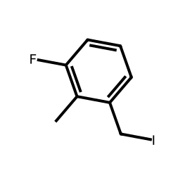 Cc1c(F)cccc1CI